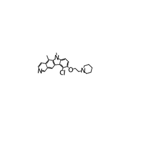 Cc1c2ccncc2cc2c3c(Cl)c(OCCN4CCCCC4)ccc3n(C)c12